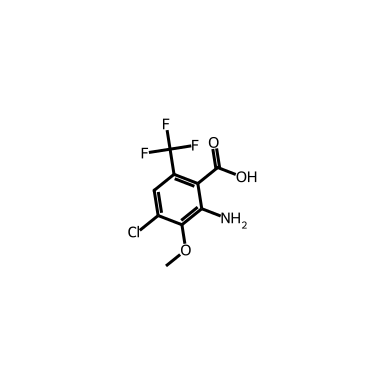 COc1c(Cl)cc(C(F)(F)F)c(C(=O)O)c1N